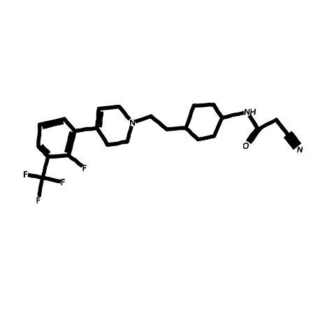 N#CCC(=O)NC1CCC(CCN2CC=C(c3cccc(C(F)(F)F)c3F)CC2)CC1